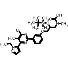 CCn1nccc1-c1nc(-c2cccc(OCC(CN(C)C(=O)O)O[Si](C)(C)C(C)(C)C)c2)nc(Cl)c1C